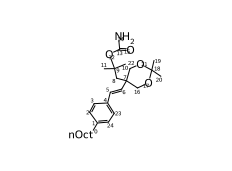 CCCCCCCCc1ccc(C=CC2(CC(C)(C)OC(N)=O)COC(C)(C)OC2)cc1